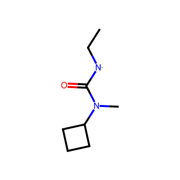 CC[N]C(=O)N(C)C1CCC1